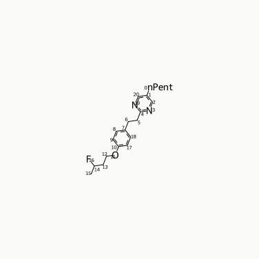 CCCCCc1cnc(CCc2ccc(OCCC(C)F)cc2)nc1